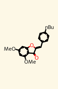 CCCCc1ccc(/C=C2\Oc3cc(OC)cc(OC)c3C2=O)cc1